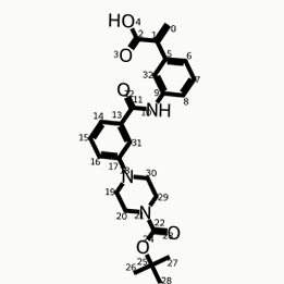 C=C(C(=O)O)c1cccc(NC(=O)c2cccc(N3CCN(C(=O)OC(C)(C)C)CC3)c2)c1